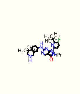 CC(C)n1c(=O)c2cnc(Nc3ccc4c(c3)CNCC4(C)C)nc2n1-c1ccc(F)c(C(C)(C)C#N)n1